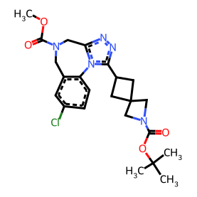 COC(=O)N1Cc2cc(Cl)ccc2-n2c(nnc2C2CC3(C2)CN(C(=O)OC(C)(C)C)C3)C1